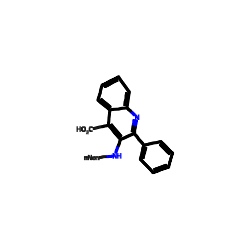 CCCCCCCCCNc1c(-c2ccccc2)nc2ccccc2c1C(=O)O